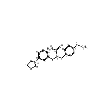 COc1ccc(CN(Cc2cccc(N3CCCC3)c2)C(N)=S)cc1